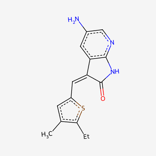 CCc1sc(C=C2C(=O)Nc3ncc(N)cc32)cc1C